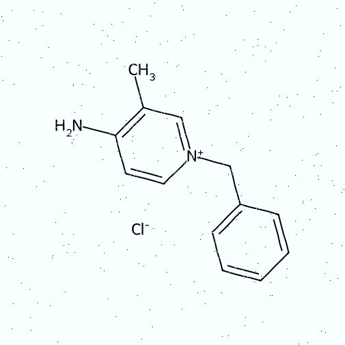 Cc1c[n+](Cc2ccccc2)ccc1N.[Cl-]